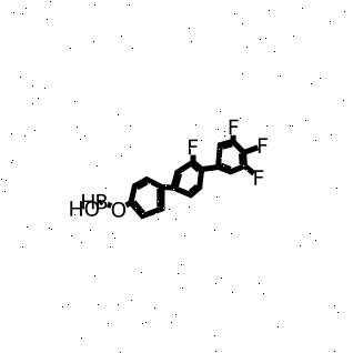 OBOc1ccc(-c2ccc(-c3cc(F)c(F)c(F)c3)c(F)c2)cc1